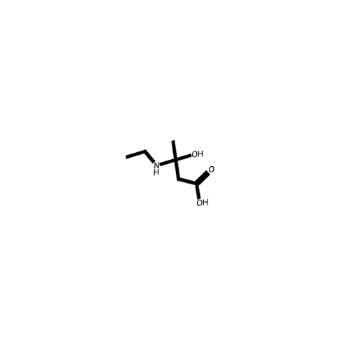 CCNC(C)(O)CC(=O)O